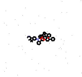 C/C=C\C1=C(C)C(C)(C)c2cc(N(c3ccc(-c4cccc5c4C4(c6ccccc6Oc6ccc(-c7ccccc7)cc64)c4ccccc4-5)cc3)c3ccccc3-c3ccccc3)ccc21